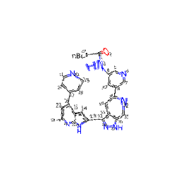 CCCCC(=O)Nc1cncc(-c2cc3c(-c4cc5c(-c6ccncc6)ccnc5[nH]4)n[nH]c3cn2)c1